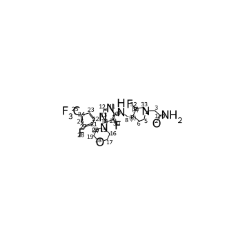 NC(=O)CN1CC[C@H](CNc2ncnc(N3CCOC[C@@H]3c3ccc(C(F)(F)F)cc3F)c2F)[C@@H](F)C1